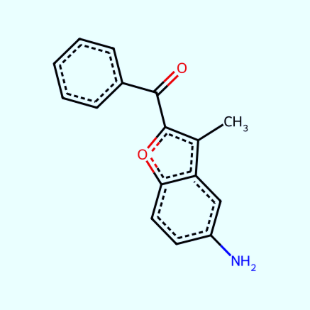 Cc1c(C(=O)c2ccccc2)oc2ccc(N)cc12